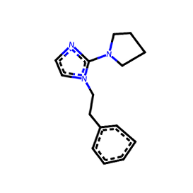 c1ccc(CCn2ccnc2N2CCCC2)cc1